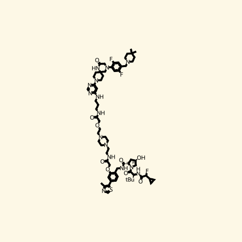 Cc1ncsc1-c1ccc(CNC(=O)[C@@H]2C[C@@H](O)CN2C(=O)[C@@H](NC(=O)C(F)C2CC2)C(C)(C)C)c(OCC(=O)NCCN2CCN(CCOCC(=O)NCCCNc3cc(N4CCC5(CC4)CN(c4cc(F)c(CN6CCC(C)(C)CC6)cc4F)CC(=O)N5)ncn3)CC2)c1